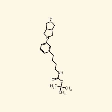 CC(C)(C)OC(=O)NCCCCc1cccc(N2CC3CNCC3C2)c1